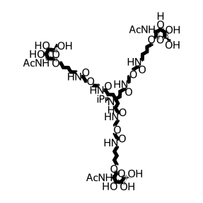 CC(=O)N[C@H]1[C@H](OCCCCCNC(=O)COCCNC(=O)CCC(CCC(=O)NCCOCC(=O)NCCCCCO[C@@H]2O[C@H](CO)[C@H](O)[C@H](O)[C@H]2NC(C)=O)(CCC(=O)NCCOCC(=O)NCCCCCO[C@@H]2O[C@H](CO)[C@H](O)[C@H](O)[C@H]2NC(C)=O)NC(C)C)O[C@H](CO)[C@H](O)[C@@H]1O